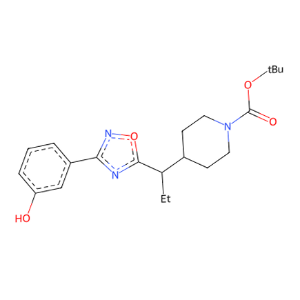 CCC(c1nc(-c2cccc(O)c2)no1)C1CCN(C(=O)OC(C)(C)C)CC1